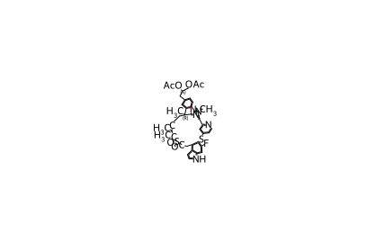 CC(=O)OC[C@H](Cc1cccc([C@@]2(C)CCCC(C)(C)CS(=O)(=O)CCc3c(c(F)cc4[nH]ccc34)Sc3ccnc(c3)-c3nc2nn3C)c1)OC(C)=O